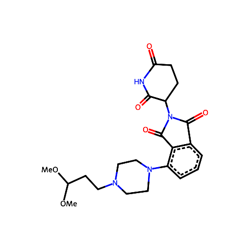 COC(CCN1CCN(c2cccc3c2C(=O)N(C2CCC(=O)NC2=O)C3=O)CC1)OC